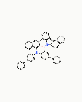 c1ccc(-c2ccc(N3c4ccc(-c5ccccc5)cc4B4c5c(cc6ccccc6c53)-c3cccc5c6c7ccccc7ccc6n4c35)cc2)cc1